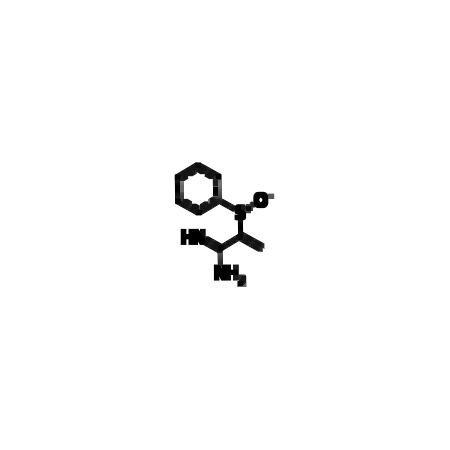 C=C(C(=N)N)[S+]([O-])c1ccccc1